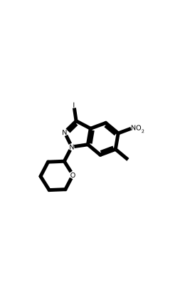 Cc1cc2c(cc1[N+](=O)[O-])c(I)nn2C1CCCCO1